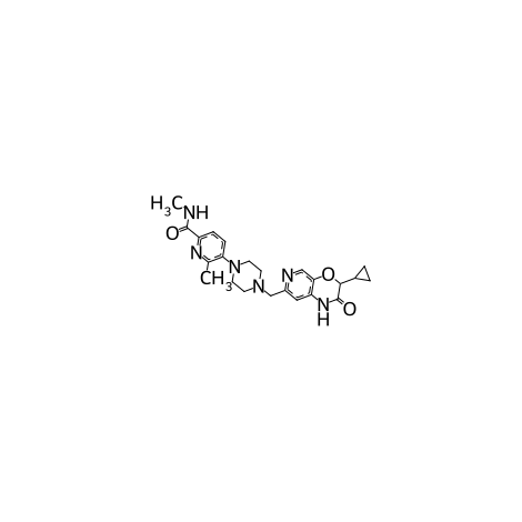 CNC(=O)c1ccc(N2CCN(Cc3cc4c(cn3)OC(C3CC3)C(=O)N4)CC2)c(C)n1